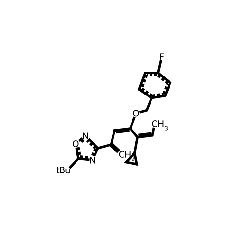 C=C(/C=C(OCc1ccc(F)cc1)\C(=C/C)C1CC1)c1noc(C(C)(C)C)n1